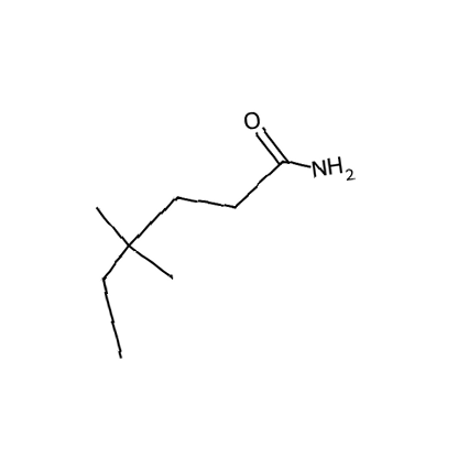 CCC(C)(C)CCC(N)=O